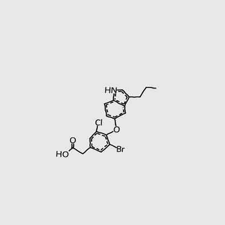 CCCc1c[nH]c2ccc(Oc3c(Cl)cc(CC(=O)O)cc3Br)cc12